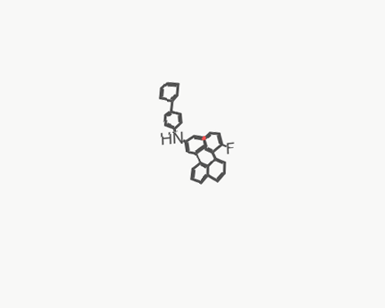 Fc1ccccc1-c1cccc2cccc(-c3cccc(Nc4ccc(-c5ccccc5)cc4)c3)c12